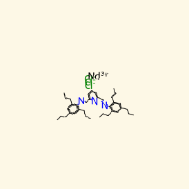 CCCc1cc(CCC)c(N=Cc2cccc(C=Nc3c(CCC)cc(CCC)cc3CCC)n2)c(CCC)c1.[Cl-].[Cl-].[Cl-].[Nd+3]